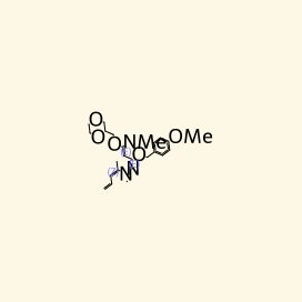 C=C/C=C(/C)N(C)/N=C(\C=C(/NC)OCC1COCCO1)OCc1ccc(OC)cc1